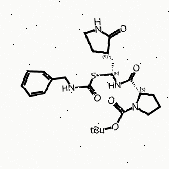 CC(C)(C)OC(=O)N1CCC[C@H]1C(=O)N[C@@H](C[C@@H]1CCNC1=O)SC(=O)NCc1ccccc1